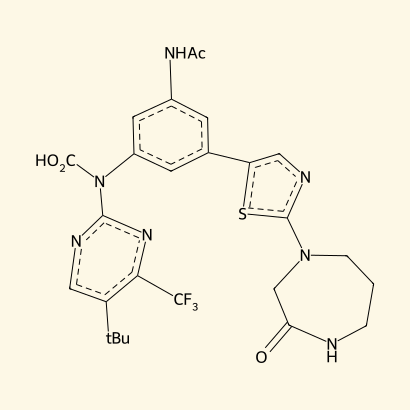 CC(=O)Nc1cc(-c2cnc(N3CCCNC(=O)C3)s2)cc(N(C(=O)O)c2ncc(C(C)(C)C)c(C(F)(F)F)n2)c1